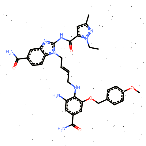 CCn1nc(C)cc1C(=O)Nc1nc2cc(C(N)=O)ccc2n1C/C=C/CNc1c(N)cc(C(N)=O)cc1OCc1ccc(OC)cc1